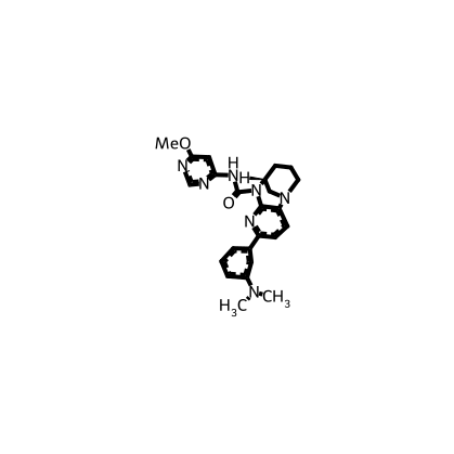 COc1cc(NC(=O)N2c3nc(-c4cccc(N(C)C)c4)ccc3N3CCC[C@@H]2C3)ncn1